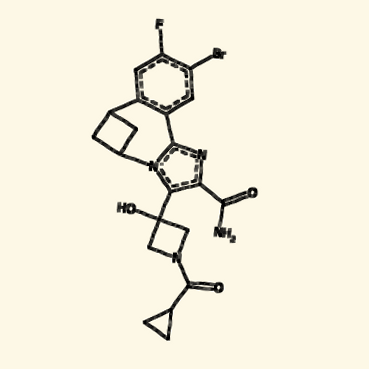 NC(=O)c1nc2n(c1C1(O)CN(C(=O)C3CC3)C1)C1CC(C1)c1cc(F)c(Br)cc1-2